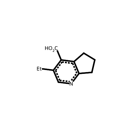 CCc1cnc2c(c1C(=O)O)CCC2